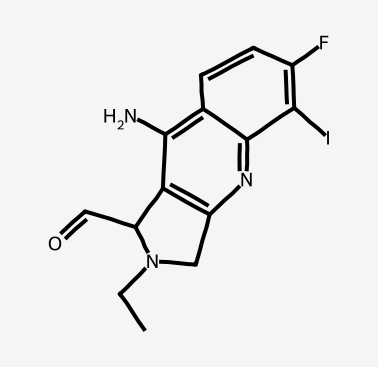 CCN1Cc2nc3c(I)c(F)ccc3c(N)c2C1C=O